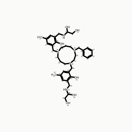 Cc1cc(CNC(O)CO)c(O)c(CN2CCCN(Cc3ccccc3)CCN(Cc3cc(C)cc(CNC(O)CO)c3O)CCC2)c1